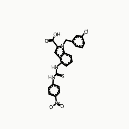 O=C(O)c1cc2c(NC(=S)Nc3ccc([N+](=O)[O-])cc3)cccc2n1Cc1cccc(Cl)c1